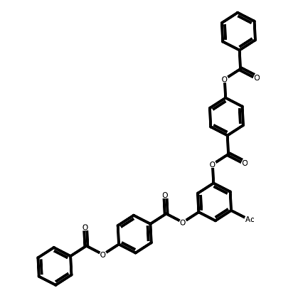 CC(=O)c1cc(OC(=O)c2ccc(OC(=O)c3ccccc3)cc2)cc(OC(=O)c2ccc(OC(=O)c3ccccc3)cc2)c1